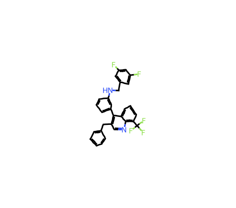 Fc1cc(F)cc(CNc2cccc(-c3c(Cc4ccccc4)cnc4c(C(F)(F)F)cccc34)c2)c1